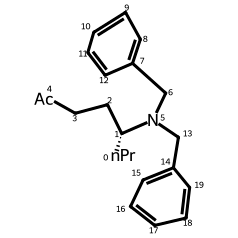 CCC[C@H](CCC(C)=O)N(Cc1ccccc1)Cc1ccccc1